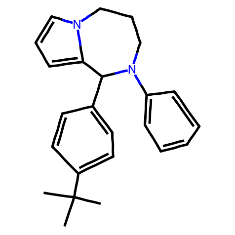 CC(C)(C)c1ccc(C2c3cccn3CCCN2c2ccccc2)cc1